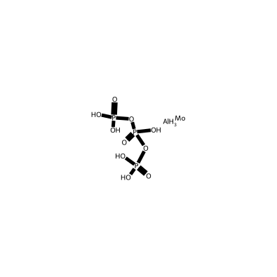 O=P(O)(O)OP(=O)(O)OP(=O)(O)O.[AlH3].[Mo]